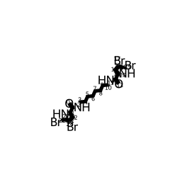 O=C(NCCCCCCCCNC(=O)c1cc(Br)c(Br)[nH]1)c1cc(Br)c(Br)[nH]1